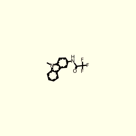 Cn1c2ccccc2c2cc(NC(=O)C(F)(F)F)ccc21